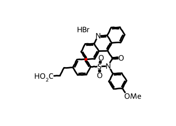 Br.COc1ccc(N(C(=O)c2c3ccccc3nc3ccccc23)S(=O)(=O)c2ccc(CCC(=O)O)cc2)cc1